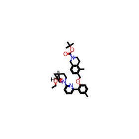 CCOC(=O)[C@@]12CCN(c3cccc(-c4cc(C)ccc4OCc4ccc5c(c4C)CCN(C(=O)OC(C)(C)C)C5)n3)C[C@@H]1C2